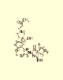 C[S+]([O-])CCN1CCC(CO)(c2ccc3c(c2)-c2nn(/C(=N/C=N)Nc4ccc(F)cc4F)cc2CCO3)CC1